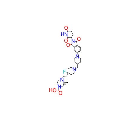 C[C@H]1CN(C(=O)O)CCN1CCC1(F)CCN(CC2CCN(c3ccc4c(c3)C(=O)N(C3CCC(=O)NC3=O)C4=O)CC2)CC1